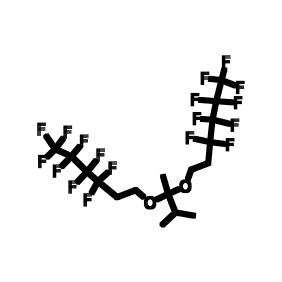 CC(C)C(C)(OCCC(F)(F)C(F)(F)C(F)(F)C(F)(F)F)OCCC(F)(F)C(F)(F)C(F)(F)C(F)(F)F